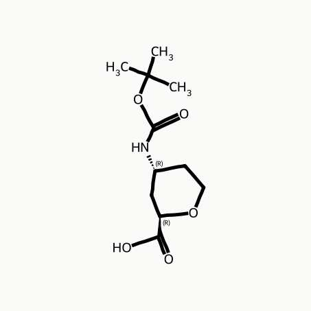 CC(C)(C)OC(=O)N[C@@H]1CCO[C@@H](C(=O)O)C1